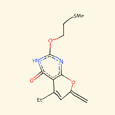 C=C1C=C(CC)c2c(nc(OCCSC)[nH]c2=O)O1